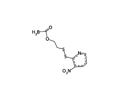 BC(=O)OCCSSc1ncccc1[N+](=O)[O-]